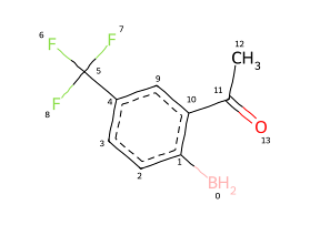 Bc1ccc(C(F)(F)F)cc1C(C)=O